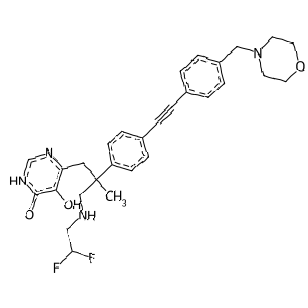 CC(CNCC(F)F)(Cc1nc[nH]c(=O)c1O)c1ccc(C#Cc2ccc(CN3CCOCC3)cc2)cc1